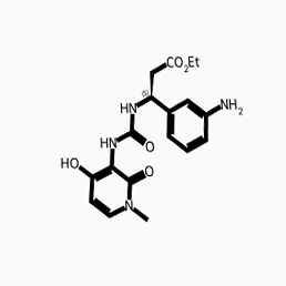 CCOC(=O)C[C@H](NC(=O)Nc1c(O)ccn(C)c1=O)c1cccc(N)c1